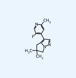 Cc1cc(-c2cnn3c2CC(C)(C)C3)c(F)cn1